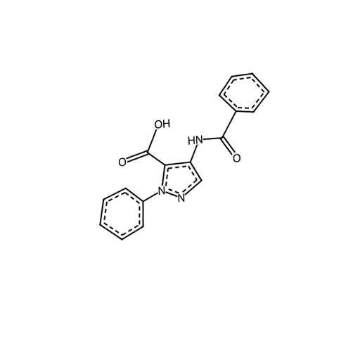 O=C(Nc1cnn(-c2ccccc2)c1C(=O)O)c1ccccc1